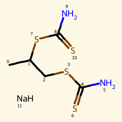 CC(CSC(N)=S)SC(N)=S.[NaH]